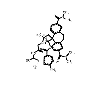 C=C(c1ccc2c(c1)CCc1cc(C(=O)N(C)C)ccc1C2(C[C@@H](C)NCC(=O)NC(C#N)C[C@@H](C)CC)C(=N)OC(=N)c1ccc(C)cc1)N(C)C